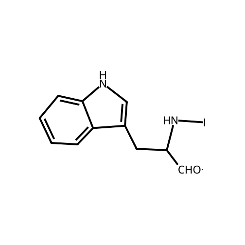 O=[C]C(Cc1c[nH]c2ccccc12)NI